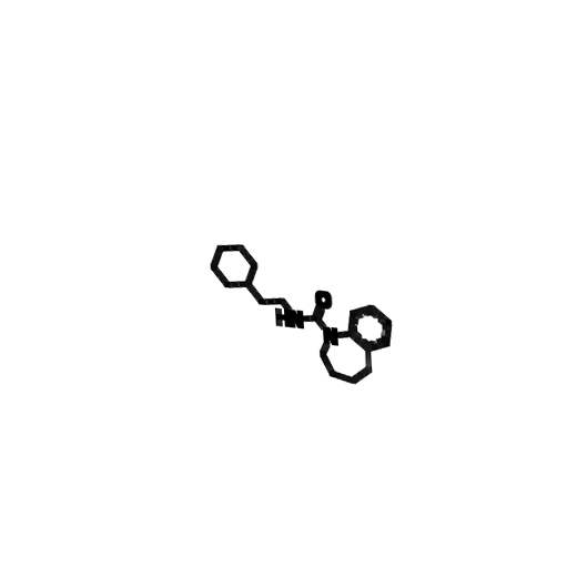 O=C(NCCC1CCCCC1)N1CCCCc2ccccc21